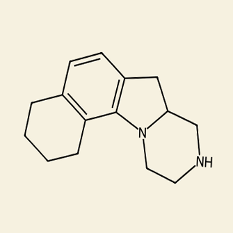 c1cc2c(c3c1CCCC3)N1CCNCC1C2